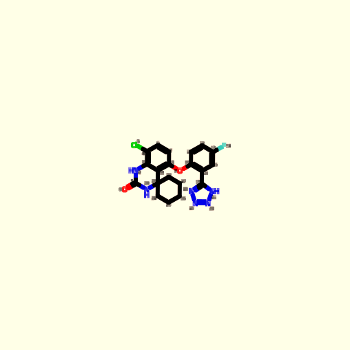 O=C1Nc2c(Cl)ccc(Oc3ccc(F)cc3-c3nnn[nH]3)c2C2(CCCCC2)N1